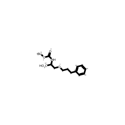 CC(C)(C)OC(=O)NC(COCCCc1ccccc1)C(=O)O